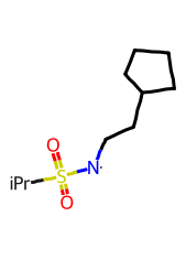 CC(C)S(=O)(=O)[N]CCC1CCCC1